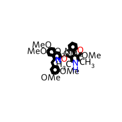 COC(=O)C1=C(C)NC(C)=C(C(=O)OC)C1c1ccccc1[N+](=O)[O-].COc1ccc(Cc2nccc3cc(OC)c(OC)cc23)cc1OC